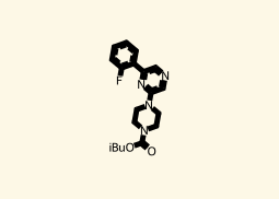 CC(C)COC(=O)N1CCN(c2cncc(-c3ccccc3F)n2)CC1